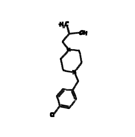 [CH2]C(O)CN1CCN(Cc2ccc(Cl)cc2)CC1